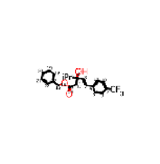 CC(C)C(O)(C=Cc1ccc(C(F)(F)F)cc1)CC(=O)OCc1ccccc1